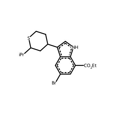 CCOC(=O)c1cc(Br)cc2c(C3CCSC(C(C)C)C3)c[nH]c12